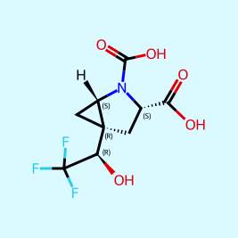 O=C(O)[C@@H]1C[C@]2([C@@H](O)C(F)(F)F)C[C@@H]2N1C(=O)O